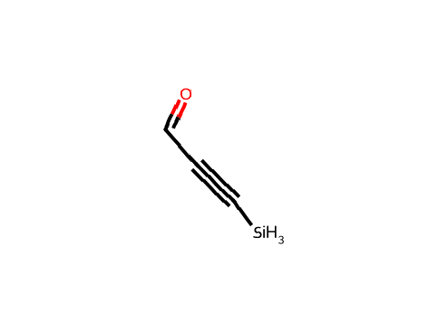 O=CC#C[SiH3]